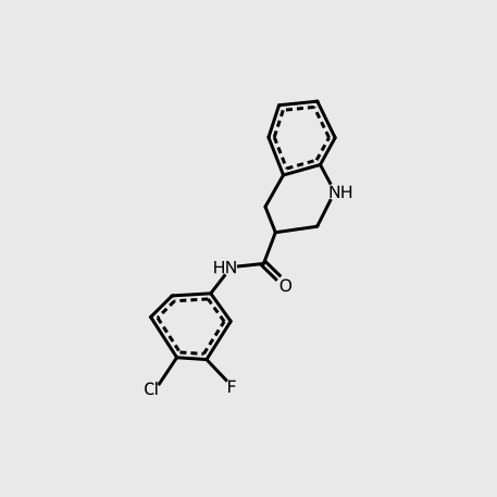 O=C(Nc1ccc(Cl)c(F)c1)C1CNc2ccccc2C1